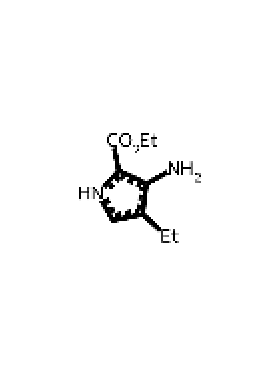 CCOC(=O)c1[nH]cc(CC)c1N